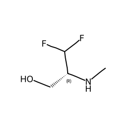 CN[C@H](CO)C(F)F